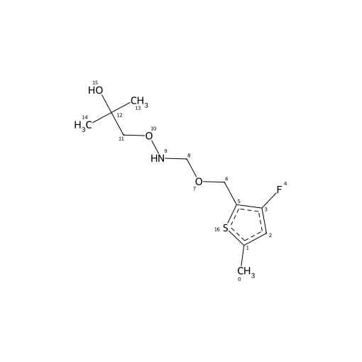 Cc1cc(F)c(COCNOCC(C)(C)O)s1